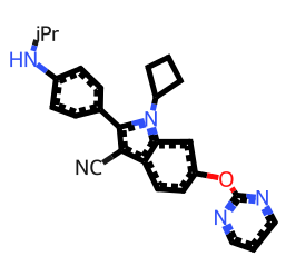 CC(C)Nc1ccc(-c2c(C#N)c3ccc(Oc4ncccn4)cc3n2C2CCC2)cc1